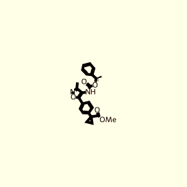 COC(=O)C1(c2ccc(-c3onc(C)c3NC(=O)O[C@H](C)c3ccccc3)cc2)CC1